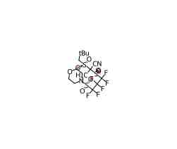 CC(C)(C)CS(=O)(=O)C(C)(C#N)S(=O)(=O)C(F)(F)C(F)(F)C(F)(F)S(=O)(=O)N1CCOCC1